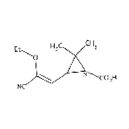 CCOC(C#N)=CC1[C@@H](C(=O)O)C1(C)C